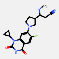 CNC(CC#N)C1CCN(c2cc3c(cc2F)c(=O)[nH]c(=O)n3C2CC2)C1